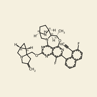 C#Cc1c(F)ccc2cccc(-c3nc4c5c(nc(OCC67CC(=C)CN6C[C@@H]6C[C@@H]67)nc5c3F)N3C[C@H]5CC[C@H](N5)[C@H]3[C@H](C)O4)c12